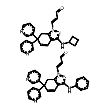 O=CC=Cn1nc(NC2CCC2)c2c1CC(c1cccnc1)(c1cccnc1)C=C2.O=CC=Cn1nc(Nc2ccccc2)c2c1CC(c1cccnc1)(c1cccnc1)C=C2